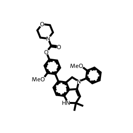 COc1cc(OC(=O)N2CCOCC2)ccc1-c1ccc2c3c1CN(c1ccccc1OC)C3=CC(C)(C)N2